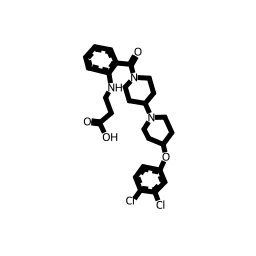 O=C(O)CCNc1ccccc1C(=O)N1CCC(N2CCC(Oc3ccc(Cl)c(Cl)c3)CC2)CC1